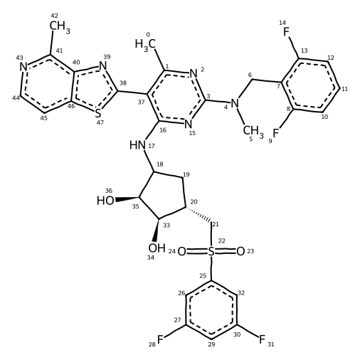 Cc1nc(N(C)Cc2c(F)cccc2F)nc(NC2C[C@H](CS(=O)(=O)c3cc(F)cc(F)c3)[C@@H](O)[C@H]2O)c1-c1nc2c(C)nccc2s1